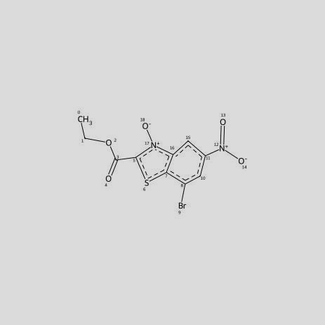 CCOC(=O)c1sc2c(Br)cc([N+](=O)[O-])cc2[n+]1[O-]